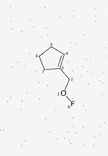 FOCC1=CCCC1